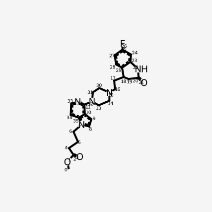 COC(=O)CCCn1ccc2c(N3CCN(CCC4CC(=O)Nc5cc(F)ccc54)CC3)nccc21